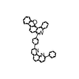 c1ccc(-c2ccc3ccc4ccc(-c5ccc(-c6nc7ccccc7c7c6ccc6c8ccccc8oc67)cc5)nc4c3n2)cc1